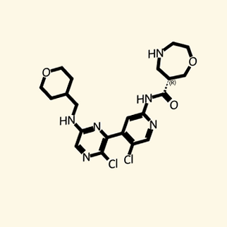 O=C(Nc1cc(-c2nc(NCC3CCOCC3)cnc2Cl)c(Cl)cn1)[C@@H]1CNCCOC1